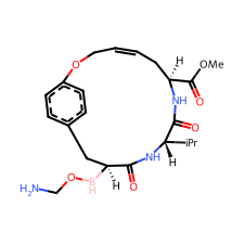 COC(=O)[C@@H]1CC=CCOc2ccc(cc2)C[C@H](BOCN)C(=O)N[C@@H](C(C)C)C(=O)N1